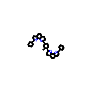 Cc1cc(-c2ccc3ccc4ccc(-c5ccccc5)nc4c3n2)ccc1-c1ccc2ccc3ccc(-c4ccccc4)nc3c2n1